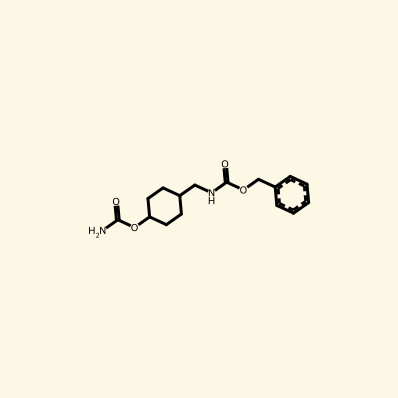 NC(=O)OC1CCC(CNC(=O)OCc2ccccc2)CC1